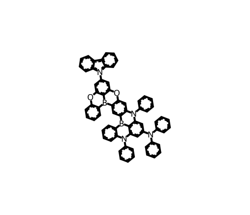 c1ccc(N(c2ccccc2)c2cc3c4c(c2)N(c2ccccc2)c2cc5c(cc2B4c2ccccc2N3c2ccccc2)B2c3ccccc3Oc3cc(-n4c6ccccc6c6ccccc64)cc(c32)O5)cc1